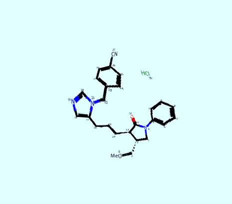 COC[C@H]1CN(c2ccccc2)C(=O)[C@@H]1CCCc1cncn1Cc1ccc(C#N)cc1.Cl